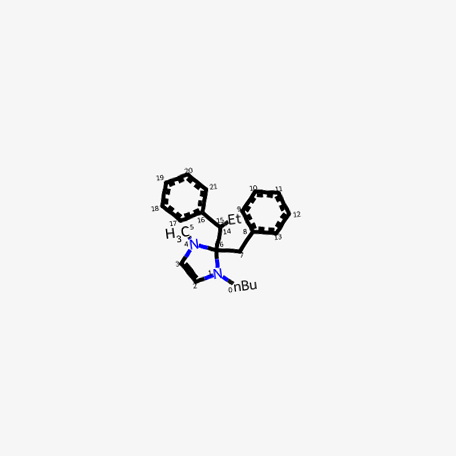 CCCCN1C=CN(C)C1(Cc1ccccc1)C(CC)c1ccccc1